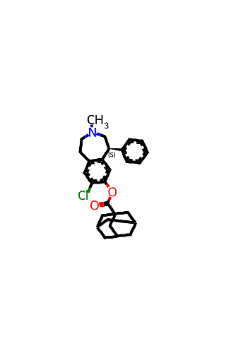 CN1CCc2cc(Cl)c(OC(=O)C34CC5CC(CC(C5)C3)C4)cc2[C@H](c2ccccc2)C1